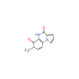 O=C1c2[nH]c(=O)c3cccn3c2C=CC1C(F)(F)F